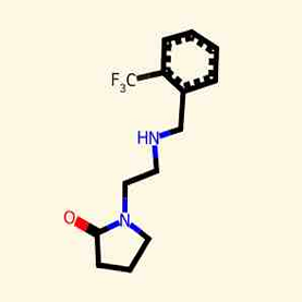 O=C1CCCN1CCNCc1ccccc1C(F)(F)F